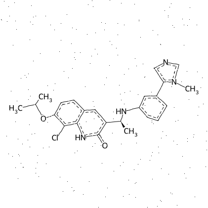 CC(C)Oc1ccc2cc([C@H](C)Nc3cccc(-c4cncn4C)c3)c(=O)[nH]c2c1Cl